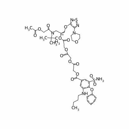 CCCCNc1cc(C(=O)OCC(=O)OCC(=O)OCC(=O)O[C@H](COc2nsnc2N2CCOCC2)CN(C(=O)COC(C)=O)C(C)(C)C)cc(S(N)(=O)=O)c1Oc1ccccc1